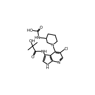 CC(C)(O)C(=O)Nc1c[nH]c2ncc(Cl)c(N3CCCC(NC(=O)O)C3)c12